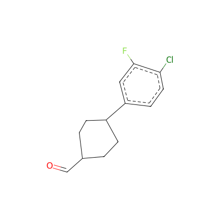 O=CC1CCC(c2ccc(Cl)c(F)c2)CC1